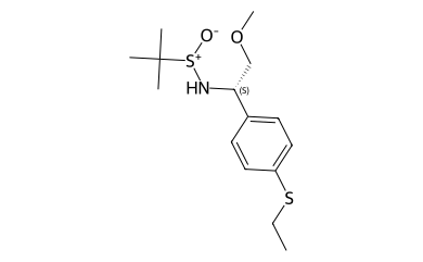 CCSc1ccc([C@@H](COC)N[S+]([O-])C(C)(C)C)cc1